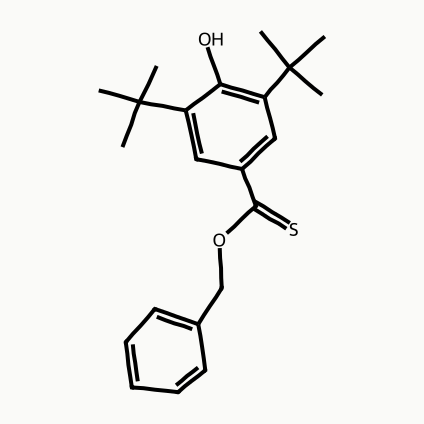 CC(C)(C)c1cc(C(=S)OCc2ccccc2)cc(C(C)(C)C)c1O